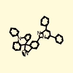 C1=C(c2ccccc2)C=C(c2ccccc2)C2=NC(c3ccc4c(c3)C3(c5ccccc5N(c5ccccc5)c5ccccc53)c3cccnc3-4)N12